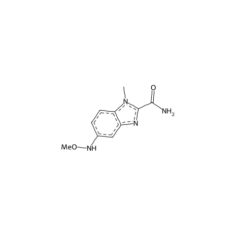 CONc1ccc2c(c1)nc(C(N)=O)n2C